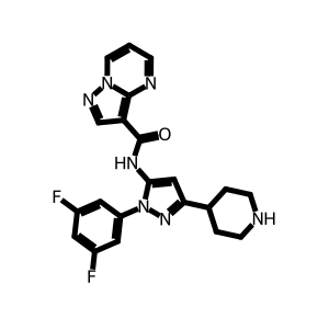 O=C(Nc1cc(C2CCNCC2)nn1-c1cc(F)cc(F)c1)c1cnn2cccnc12